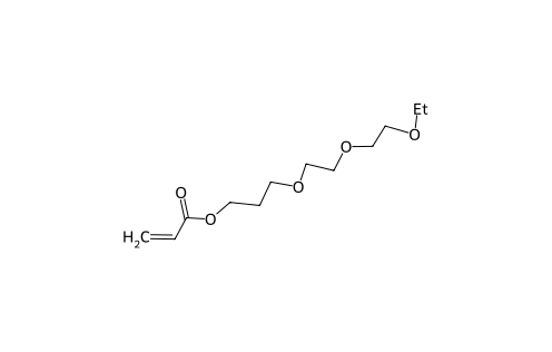 C=CC(=O)OCCCOCCOCCOCC